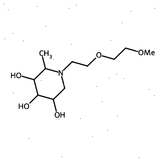 COCCOCCN1CC(O)C(O)C(O)C1C